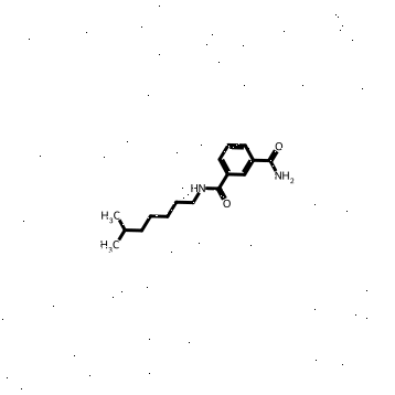 CC(C)CCCCCNC(=O)c1cccc(C(N)=O)c1